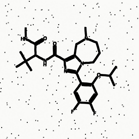 CNC(=O)C(NC(=O)c1nc(-c2cc(F)c(F)cc2OC(C)C)n2c1CN(C)CCC2)C(C)(C)C